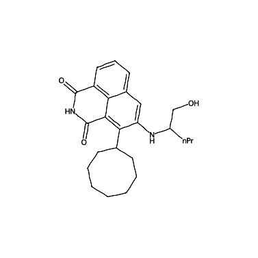 CCCC(CO)Nc1cc2cccc3c2c(c1C1CCCCCCC1)C(=O)NC3=O